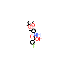 CCOB(OC(C)(C)CC)c1ccc(NC(=O)C(O)c2cccc(F)c2)cc1C